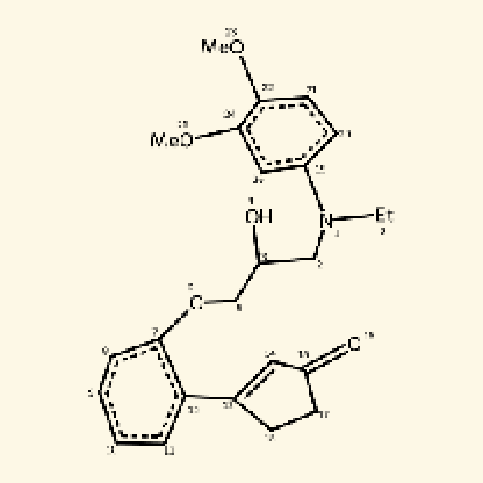 CCN(CC(O)COc1ccccc1C1=CC(=O)CC1)c1ccc(OC)c(OC)c1